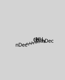 CCCCCCCCCCCCCCCCCCC(CCCCCCCCCCCCCC)C(N)=O